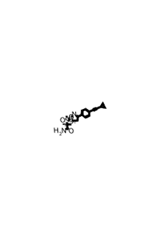 C[C@@](C[C@H]1CC(c2ccc(C#CC3CC3)cc2)=NO1)(C(N)=O)S(C)(=O)=O